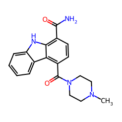 CN1CCN(C(=O)c2ccc(C(N)=O)c3[nH]c4ccccc4c23)CC1